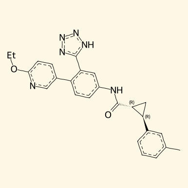 CCOc1ccc(-c2ccc(NC(=O)[C@@H]3C[C@H]3c3cccc(C)c3)cc2-c2nnn[nH]2)cn1